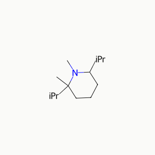 CC(C)C1CCCC(C)(C(C)C)N1C